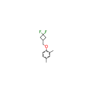 Cc1ccc(OCC2CC(F)(F)C2)c(C)c1